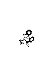 Cc1nnc(NC(=O)c2ccccc2Oc2ccccc2Cl)o1